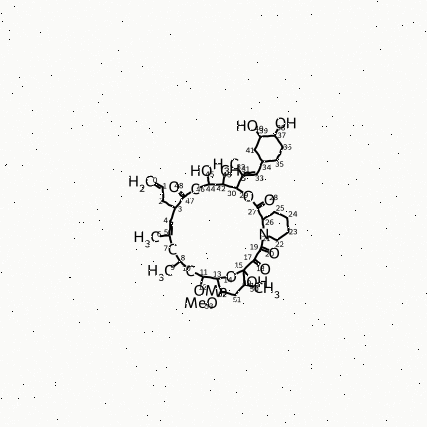 C=CCC1C=C(C)CC(C)CC(OC)C2OC(O)(C(=O)C(=O)N3CCCCC3C(=O)OC(C(C)=CC3CCC(O)C(O)C3)C(C)C(O)CC1=O)C(C)CC2OC